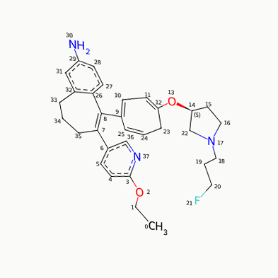 CCOc1ccc(C2=C(C3=CC=C(O[C@H]4CCN(CCCF)C4)CC=C3)c3ccc(N)cc3CCC2)cn1